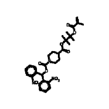 C=C(C)C(=O)OC(C)(C)C(C)(C)OC(=O)C1CCN(C(=O)OC(c2ccccc2[N+](=O)[O-])c2ccccc2[N+](=O)[O-])CC1